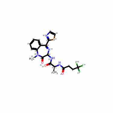 C[C@H](NC(=O)CCC(F)(F)F)C(=O)NC1N=C(c2nccs2)c2ccccc2N(C)C1=O